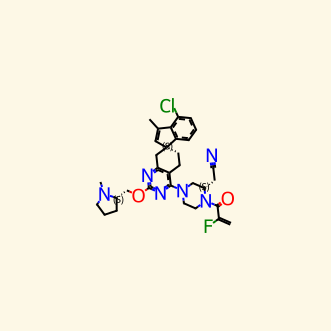 C=C(F)C(=O)N1CCN(c2nc(OC[C@@H]3CCCN3C)nc3c2CC[C@@]2(C=C(C)c4c(Cl)cccc42)C3)C[C@@H]1CC#N